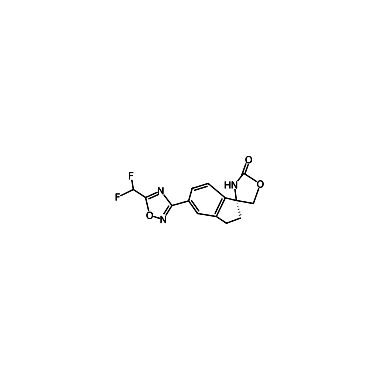 O=C1N[C@@]2(CCc3cc(-c4noc(C(F)F)n4)ccc32)CO1